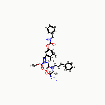 Cc1cc(OC(=O)NCc2ccccc2)cc(C)c1C[C@@H](NC(=O)OC(C)(C)C)C(=O)N(CCCc1ccccc1)[C@H](C)C(N)=O